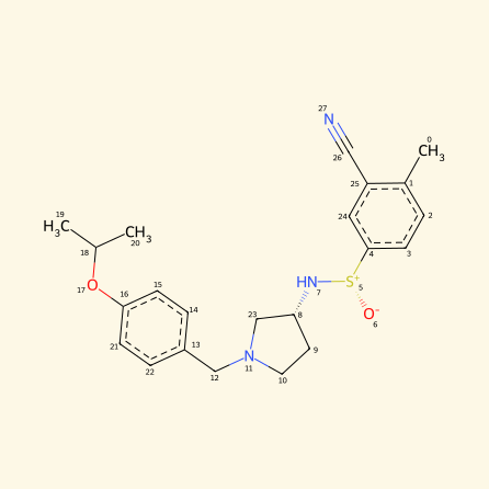 Cc1ccc([S@+]([O-])N[C@@H]2CCN(Cc3ccc(OC(C)C)cc3)C2)cc1C#N